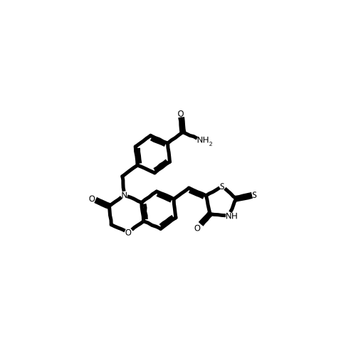 NC(=O)c1ccc(CN2C(=O)COc3ccc(C=C4SC(=S)NC4=O)cc32)cc1